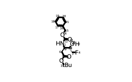 [3H]O[C@H](CF)[C@@H](CC(=O)OC(C)(C)C)NC(=O)OCc1ccccc1